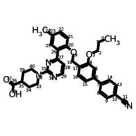 CCCOc1cc(-c2ccc(C#N)cc2)ccc1COc1ccc(C)cc1-c1ccnc(N2CCC(C(=O)O)CC2)n1